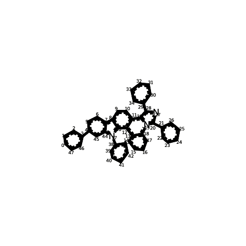 c1ccc(-c2ccc3c4ccc5c(c6ccccc6n6c(-c7ccccc7)nc(-c7ccccc7)c56)c4n(-c4ccccc4)c3c2)cc1